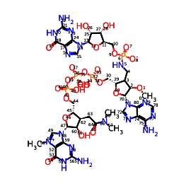 CO[C@@H]1C(CNP(=O)([O-])OC[C@H]2O[C@@H](n3cnc4c(=O)[nH]c(N)nc43)[C@H](O)[C@@H]2O)[C@@H](COP(=O)(O)OP(=O)(O)OP(=O)(O)OC[C@H]2O[C@@H](n3c[n+](C)c4c(=O)[nH]c(N)nc43)[C@H](O)[C@@H]2CC(=O)N(C)C)O[C@H]1n1cnc2c(N)ncnc21